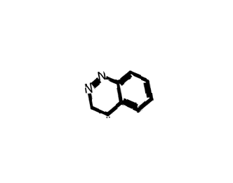 [C]1CN=Nc2ccccc21